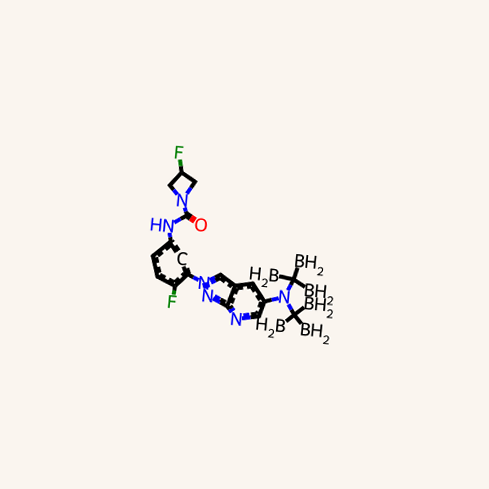 BC(B)(B)N(c1cnc2nn(-c3cc(NC(=O)N4CC(F)C4)ccc3F)cc2c1)C(B)(B)B